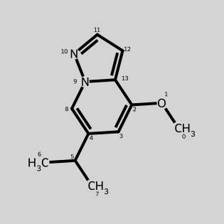 COc1cc(C(C)C)cn2nccc12